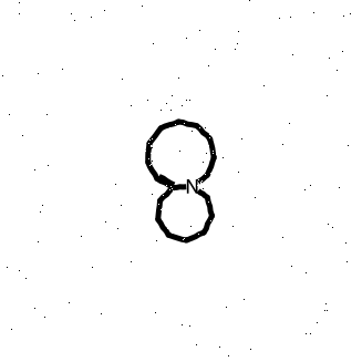 C1=C2/CCCCCCCN2CCCCCCCC/1